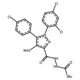 CSc1c(C(=O)NNC(=O)C(C)(C)C)nn(-c2ccc(Cl)cc2Cl)c1-c1ccc(Cl)cc1